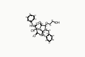 CC(C)(C)C(=O)C(Cl)(C(=O)Nc1ccccc1)N1C(=O)C(OCCO)N(Cc2ccccc2)C1=O